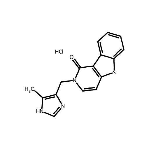 Cc1[nH]cnc1Cn1ccc2sc3ccccc3c2c1=O.Cl